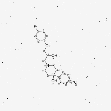 OC(COc1ccc(F)cc1)CN1CCC(O)(c2ccc(Cl)cc2)CC1